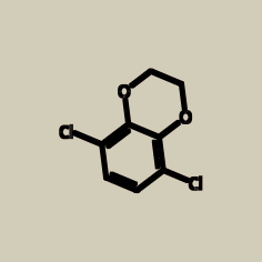 Clc1ccc(Cl)c2c1OCCO2